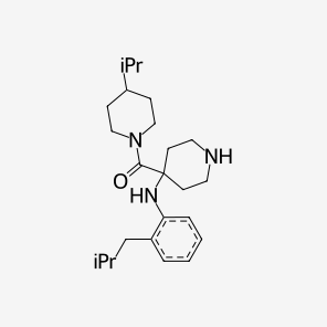 CC(C)Cc1ccccc1NC1(C(=O)N2CCC(C(C)C)CC2)CCNCC1